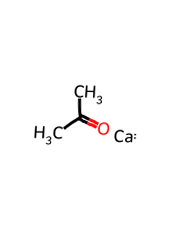 CC(C)=O.[Ca]